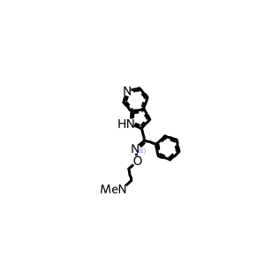 CNCCO/N=C(\c1ccccc1)c1cc2ccncc2[nH]1